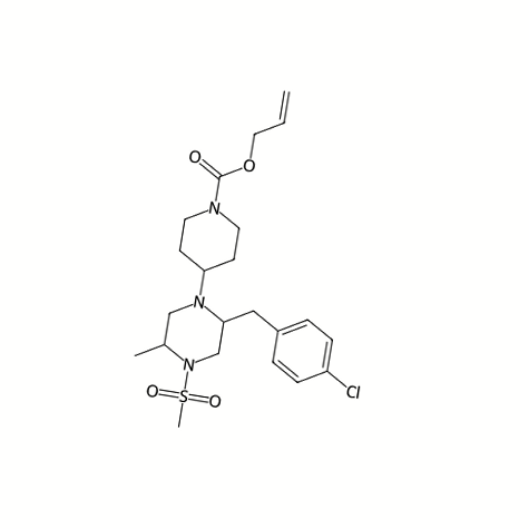 C=CCOC(=O)N1CCC(N2CC(C)N(S(C)(=O)=O)CC2Cc2ccc(Cl)cc2)CC1